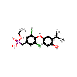 CCOP(=O)(O)Cc1cc(Br)c(Oc2ccc(O)c(C(C)C)c2)c(Br)c1